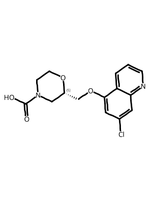 O=C(O)N1CCO[C@H](COc2cc(Cl)cc3ncccc23)C1